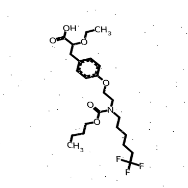 CCCCOC(=O)N(CCCCCC(F)(F)F)CCOc1ccc(CC(OCC)C(=O)O)cc1